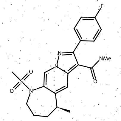 CNC(=O)c1c(-c2ccc(F)cc2)nn2cc3c(cc12)[C@@H](C)CCCN3S(C)(=O)=O